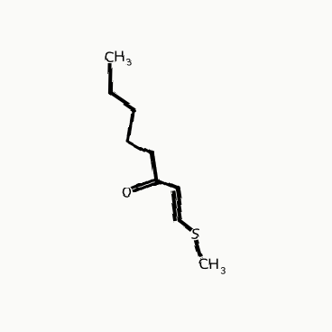 CCCCCC(=O)/C=C/SC